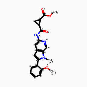 COC(=O)C1CC1C(=O)Nc1cc2cc(-c3ccccc3OC)n(C)c2cn1